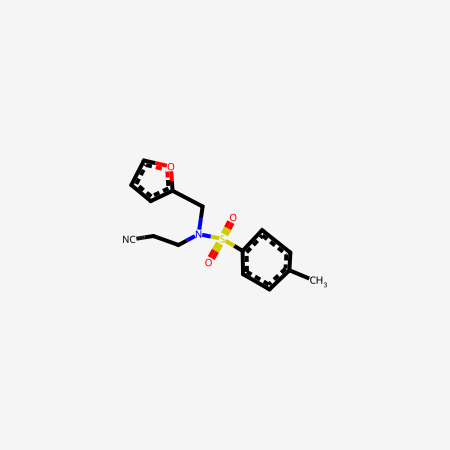 Cc1ccc(S(=O)(=O)N(CCC#N)Cc2ccco2)cc1